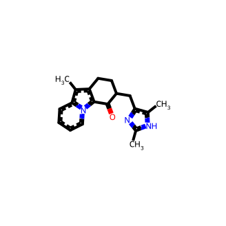 Cc1nc(CC2CCc3c(C)c4ccccn4c3C2=O)c(C)[nH]1